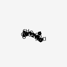 COc1cc(CS(=O)(=O)N2CCN(c3cnn(-c4cccc(Cl)c4)c(=O)c3OC3CCCC3)CC2)ccc1[N+](=O)[O-]